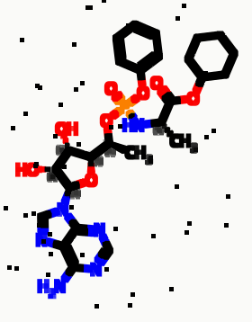 C[C@H](NP(=O)(Oc1ccccc1)O[C@@H](C)[C@H]1O[C@@H](n2cnc3c(N)ncnc32)[C@H](O)[C@@H]1O)C(=O)OC1CCCCC1